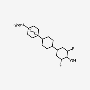 CCCCCC12CCC(C3CCC(C4CC(F)C(O)C(F)C4)CC3)(CC1)CC2